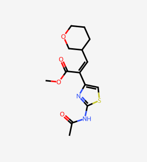 COC(=O)C(=CC1CCCOC1)c1csc(NC(C)=O)n1